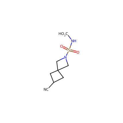 N#CC1CC2(C1)CN(S(=O)(=O)NC(=O)O)C2